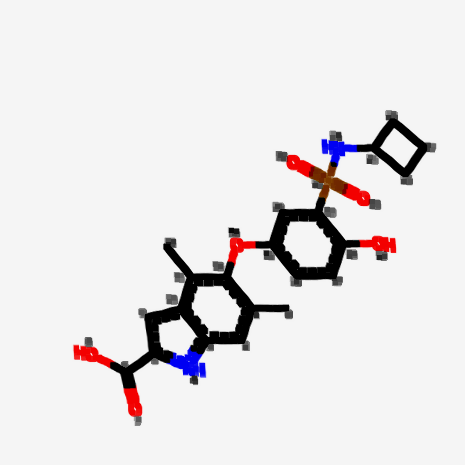 Cc1cc2[nH]c(C(=O)O)cc2c(C)c1Oc1ccc(O)c(S(=O)(=O)NC2CCC2)c1